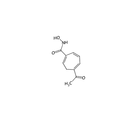 CC(=O)C1=CC=CC(C(=O)NO)=CC1